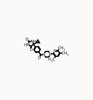 Cc1cc(C)c(N2CCN(C(=O)c3ccc(C4(C5CC5)NC(=O)NC4=O)cc3)CC2)nc1C